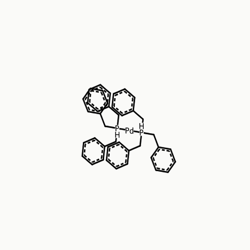 c1ccc(C[PH](Cc2ccccc2)(Cc2ccccc2)[Pd][PH](Cc2ccccc2)(Cc2ccccc2)Cc2ccccc2)cc1